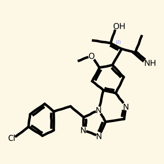 COc1cc2c(cc1/C(C(C)=N)=C(\C)O)ncc1nnc(Cc3ccc(Cl)cc3)n12